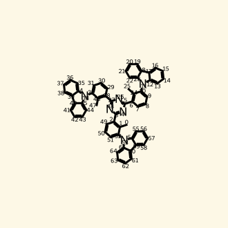 Cc1c(-c2nc(-c3cccc(-n4c5ccccc5c5ccccc54)c3C)nc(-c3cccc(-n4c5ccccc5c5ccccc54)c3C)n2)cccc1-n1c2ccccc2c2ccccc21